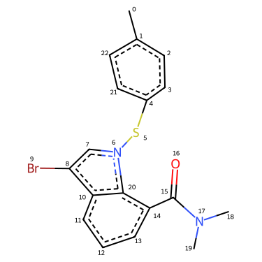 Cc1ccc(Sn2cc(Br)c3cccc(C(=O)N(C)C)c32)cc1